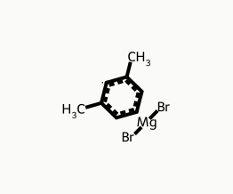 Cc1[c]c(C)ccc1.[Br][Mg][Br]